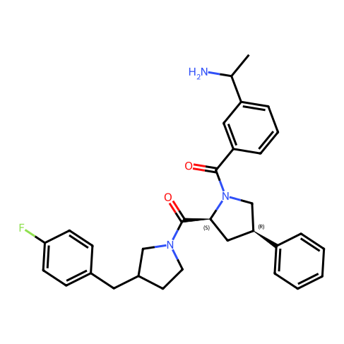 CC(N)c1cccc(C(=O)N2C[C@@H](c3ccccc3)C[C@H]2C(=O)N2CCC(Cc3ccc(F)cc3)C2)c1